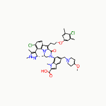 COC1CCN(Cc2cc(N3C[C@@H](C)n4c(c(CCCOc5cc(C)c(Cl)c(C)c5)c5ccc(Cl)c(-c6c(C)nn(C)c6C)c54)C3=O)c3c(c2)cc(C(=O)O)n3C)CC1